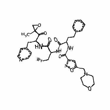 CC(C)CC(NC(=O)C(CCc1ccccc1)NC(=O)c1cc(CN2CCOCC2)on1)C(=O)NC(Cc1ccncc1)C(=O)C1(C)CO1